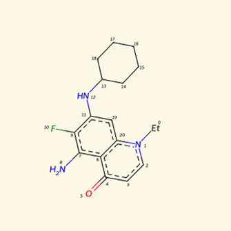 CCn1ccc(=O)c2c(N)c(F)c(NC3CCCCC3)cc21